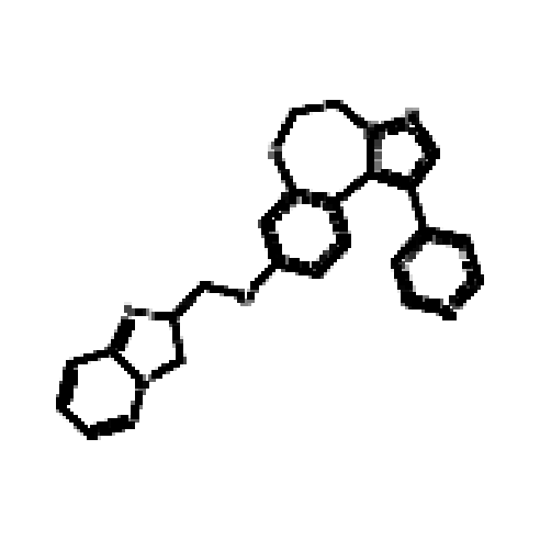 C1=CC2=NC(COc3ccc4c(c3)OCCn3ncc(-c5ccncc5)c3-4)CN2C=C1